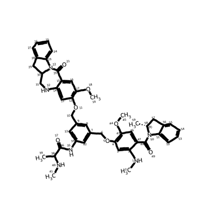 CNc1cc(OCc2cc(COc3cc4c(cc3OC)C(=O)N3c5ccccc5CC3CN4)cc(NC(=O)C(C)NC)c2)c(OC)cc1C(=O)N1c2ccccc2C[C@H]1C